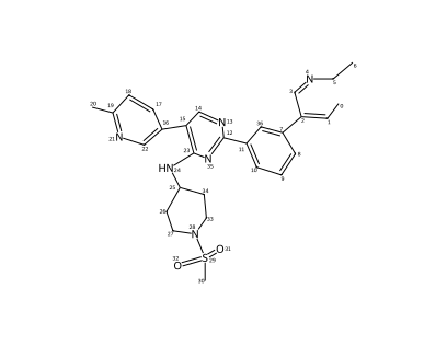 C/C=C(\C=N/CC)c1cccc(-c2ncc(-c3ccc(C)nc3)c(NC3CCN(S(C)(=O)=O)CC3)n2)c1